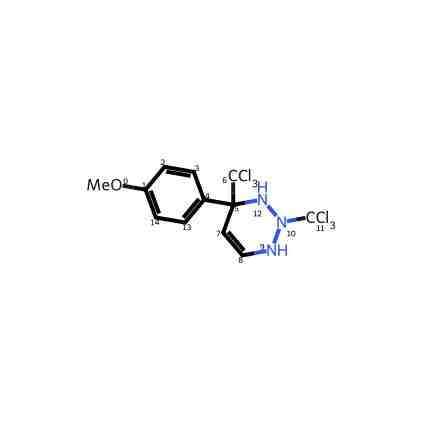 COc1ccc(C2(C(Cl)(Cl)Cl)C=CNN(C(Cl)(Cl)Cl)N2)cc1